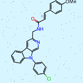 COc1ccc(/C=C/C(=O)NCc2cc3c4ccccc4n(-c4ccc(Cl)cc4)c3cn2)cc1